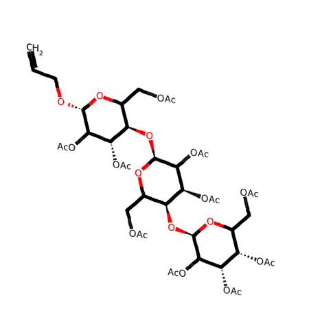 C=CCO[C@@H]1OC(COC(C)=O)[C@@H](O[C@@H]2OC(COC(C)=O)[C@H](O[C@H]3OC(COC(C)=O)[C@H](OC(C)=O)[C@H](OC(C)=O)C3OC(C)=O)[C@H](OC(C)=O)C2OC(C)=O)[C@H](OC(C)=O)C1OC(C)=O